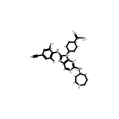 N#Cc1cc(F)c(Nc2nc3cnc(N[C@H]4CCCOCC4)nc3n2C2CCC(C(N)=O)CC2)c(F)c1